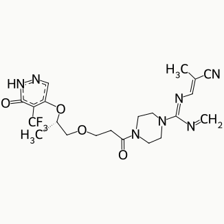 C=N/C(=N\C=C(/C)C#N)N1CCN(C(=O)CCOC[C@H](C)Oc2cn[nH]c(=O)c2C(F)(F)F)CC1